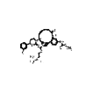 COC(=O)Nc1ccc2c(c1)NC(=O)CCC=CC[C@H](N1CCC(c3cccc(Cl)c3)OC1=O)c1nc-2cn1COCC[Si](C)(C)C